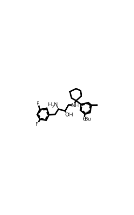 Cc1cc(C(C)(C)C)cc(C2(NC[C@@H](O)[C@@H](N)Cc3cc(F)cc(F)c3)CCCCC2)c1